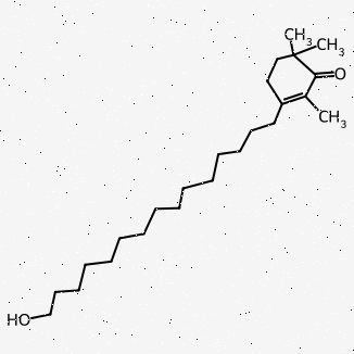 CC1=C(CCCCCCCCCCCCCCCO)CCC(C)(C)C1=O